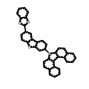 c1ccc2c(c1)ccc1c2c2c3ccccc3ccc2n1-c1ccc2c(c1)oc1ccc(-c3nc4ccccc4o3)cc12